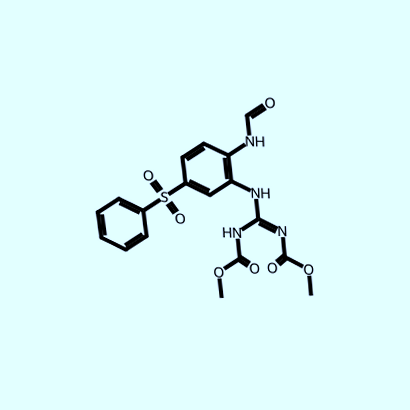 COC(=O)/N=C(\NC(=O)OC)Nc1cc(S(=O)(=O)c2ccccc2)ccc1NC=O